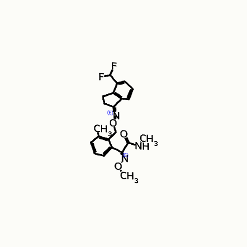 CNC(=O)/C(=N/OC)c1cccc(C)c1CO/N=C1\CCc2c1cccc2C(F)F